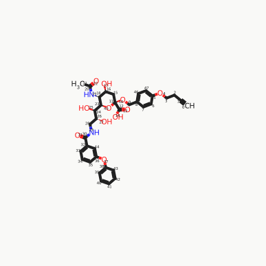 C#CCCOc1ccc(CO[C@]2(C(=O)O)C[C@H](O)[C@@H](NC(C)=O)[C@H]([C@H](O)[C@H](O)CNC(=O)c3cccc(Oc4ccccc4)c3)O2)cc1